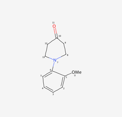 COc1ccccc1N1CCC(=O)CC1